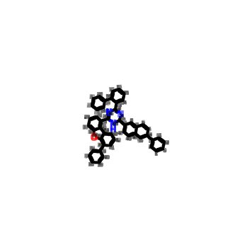 c1ccc(-c2ccc3cc(C4N=C(c5ccccc5-c5ccccc5)N=C(c5cccc6oc7c(-c8ccccc8)cccc7c56)N4)ccc3c2)cc1